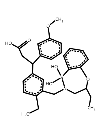 CCc1ccc(C(CC(=O)O)c2cccc(OC)c2)cc1CN1CC(CC)Oc2ccccc2S1(O)O